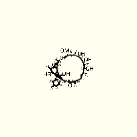 CO[C@H]1/C=C/O[C@@]2(C)Oc3c(C)c(O)c4c(O)c(c5c(nc6cc(C)ccn65)c4c3C2=O)NC(=O)/C(C)=C\C=C\[C@H](C)[C@H](O)[C@@H](C)[C@@H](O)[C@@H](C)[C@H](O)[C@@H]1C